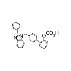 O=C(O)Oc1ccccc1-c1ccc(Cn2c(-c3ccccc3)nc3ccccc32)cc1